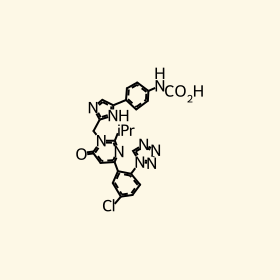 CC(C)c1nc(-c2cc(Cl)ccc2-n2cnnn2)cc(=O)n1Cc1ncc(-c2ccc(NC(=O)O)cc2)[nH]1